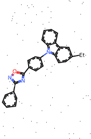 CCc1ccc2c(c1)c1ccccc1n2-c1ccc(-c2nc(-c3ccccc3)no2)cc1